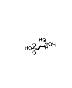 O=S(=O)(O)CCC[SiH](O)O